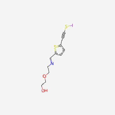 OCCOCC/N=C/c1ccc(C#CSI)s1